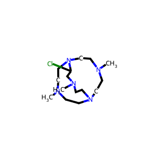 CN1CCN2CCN(C)CCN(CC1)C(Cl)CN(C)CC2